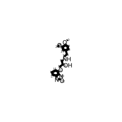 COc1ccc(CCNCC(O)COc2cccc3c2=NC(=O)N=3)cc1OC